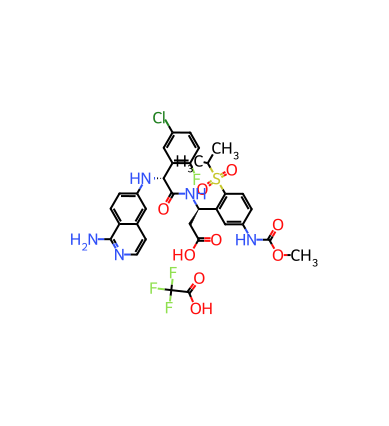 COC(=O)Nc1ccc(S(=O)(=O)C(C)C)c([C@@H](CC(=O)O)NC(=O)[C@H](Nc2ccc3c(N)nccc3c2)c2cc(Cl)ccc2F)c1.O=C(O)C(F)(F)F